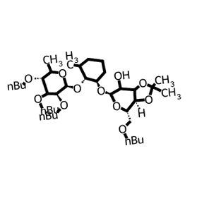 CCCCOC[C@@H]1O[C@@H](O[C@@H]2CCCC(C)[C@H]2O[C@@H]2OC(C)[C@@H](OCCCC)C(OCCCC)[C@@H]2OCCCC)C(O)C2OC(C)(C)O[C@H]21